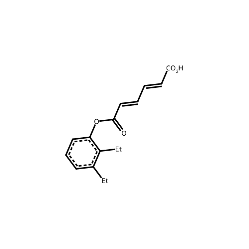 CCc1cccc(OC(=O)C=CC=CC(=O)O)c1CC